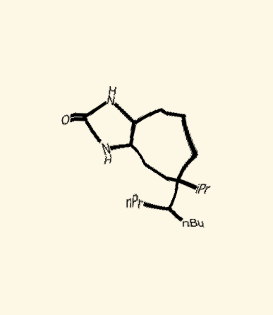 CCCCC(CCC)C1(C(C)C)CCCC2NC(=O)NC2C1